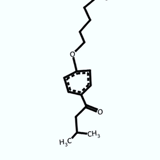 CCCCCOc1ccc(C(=O)CC(C)C)cc1